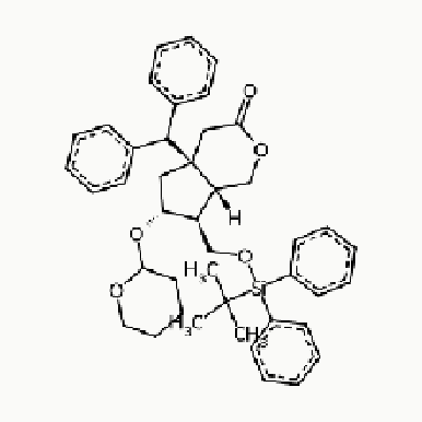 CC(C)(C)[Si](OC[C@@H]1[C@H]2COC(=O)C[C@@]2(C(c2ccccc2)c2ccccc2)C[C@H]1OC1CCCCO1)(c1ccccc1)c1ccccc1